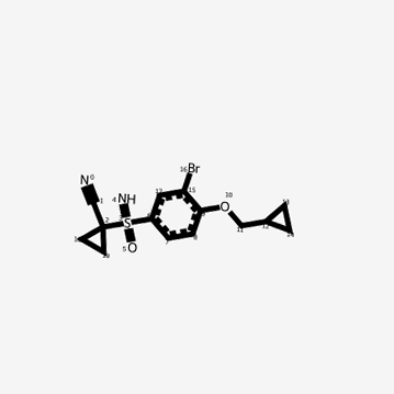 N#CC1(S(=N)(=O)c2ccc(OCC3CC3)c(Br)c2)CC1